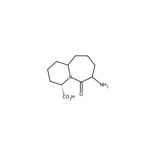 NC1CCCC2CCC[C@@H](C(=O)O)N2C1=O